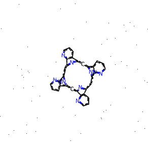 c1cnc2c(c1)-c1cc3[nH]c(cc4nc(cc5[nH]c(cc-2n1)c1cccnc51)-c1ncccc1-4)c1cccnc31